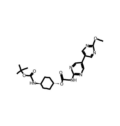 COc1ncc(-c2cnc(NC(=O)O[C@H]3CC[C@H](NC(=O)OC(C)(C)C)CC3)nc2)cn1